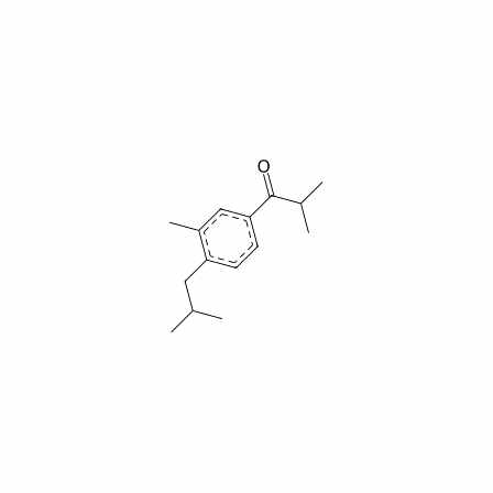 Cc1cc(C(=O)C(C)C)ccc1CC(C)C